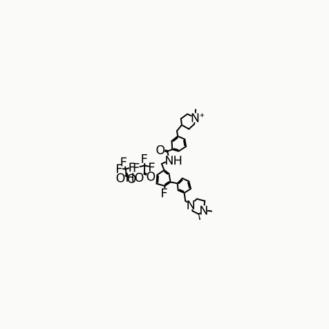 C[C@H]1CN(Cc2cccc(-c3cc(CNC(=O)c4cccc(CC5CC[N+](C)(C)CC5)c4)ccc3F)c2)CCN1C.O=C(O)C(F)(F)F.O=C([O-])C(F)(F)F